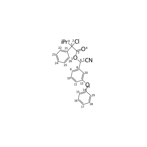 CC(C)C(Cl)(C(=O)OC(C#N)c1cccc(Oc2ccccc2)c1)c1ccccc1